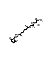 CC(=O)[C@H](S)NC(=O)CNC(=O)CCCCC(=O)NCCN1C(=O)C=CC1=O